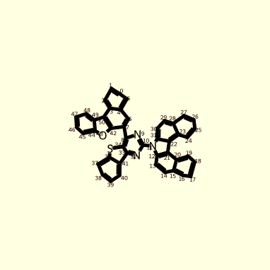 c1ccc2c(c1)cc(-c1nc(-n3c4ccc5ccccc5c4c4c5ccccc5ccc43)nc3c1sc1ccccc13)c1oc3ccccc3c12